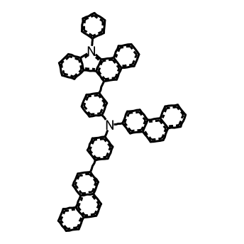 c1ccc(-n2c3ccccc3c3c(-c4cccc(N(c5ccc(-c6ccc7c(ccc8ccccc87)c6)cc5)c5ccc6c(ccc7ccccc76)c5)c4)cc4ccccc4c32)cc1